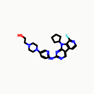 OCCN1CCN(c2ccc(Nc3ncc4c5ccnc(F)c5n(C5CCCC5)c4n3)nc2)CC1